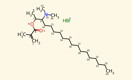 Br.C=C(C)C(=O)OC(C)C(CCCCCCCCCCCCCCC)N(C)C